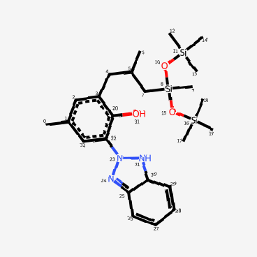 Cc1cc(CC(C)C[Si](C)(O[Si](C)(C)C)O[Si](C)(C)C)c(O)c(N2N=C3C=CC=CC3N2)c1